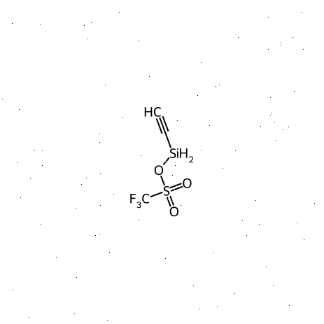 C#C[SiH2]OS(=O)(=O)C(F)(F)F